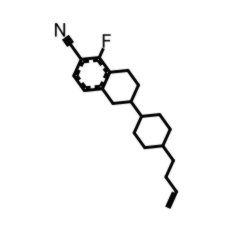 C=CCCC1CCC(C2CCc3c(ccc(C#N)c3F)C2)CC1